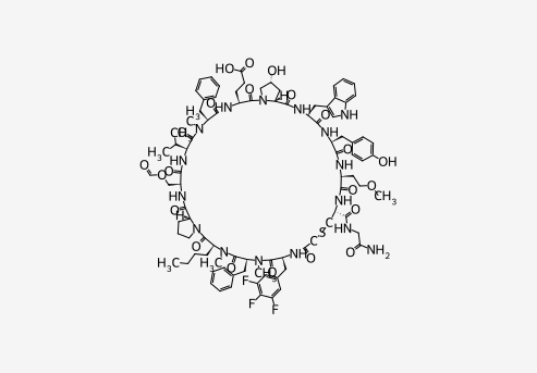 CCCC[C@H]1C(=O)N2CCC[C@@H]2C(=O)N[C@@H](COC=O)C(=O)N[C@@H](C(C)C)C(=O)N(C)[C@@H](Cc2ccccc2)C(=O)N[C@@H](CCC(=O)O)C(=O)N2C[C@H](O)C[C@@H]2C(=O)N[C@@H](Cc2c[nH]c3ccccc23)C(=O)N[C@@H](Cc2ccc(O)cc2)C(=O)N[C@@H](CCOC)C(=O)N[C@H](C(=O)NCC(N)=O)CSCC(=O)N[C@@H](Cc2cc(F)c(F)c(F)c2)C(=O)N(C)[C@@H](Cc2ccccc2)C(=O)N1C